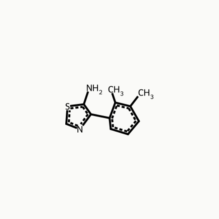 Cc1cccc(-c2ncsc2N)c1C